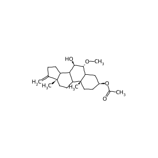 C=C1CCC2C3C(CC[C@]12C)[C@@]1(C)CC[C@H](OC(C)=O)CC1[C@@H](OC)[C@@H]3O